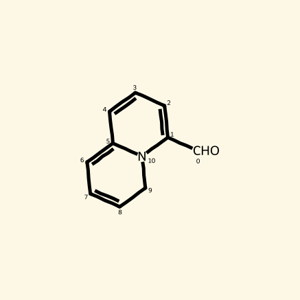 O=CC1=CC=CC2=CC=CCN12